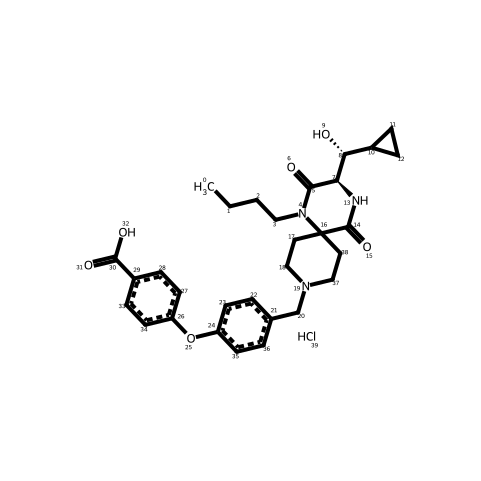 CCCCN1C(=O)[C@@H]([C@H](O)C2CC2)NC(=O)C12CCN(Cc1ccc(Oc3ccc(C(=O)O)cc3)cc1)CC2.Cl